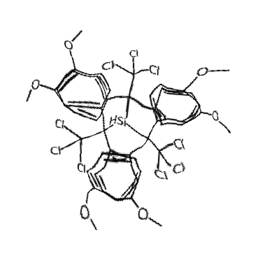 COc1ccc(C(c2ccc(OC)cc2)([SiH](C(c2ccc(OC)cc2)(c2ccc(OC)cc2)C(Cl)(Cl)Cl)C(c2ccc(OC)cc2)(c2ccc(OC)cc2)C(Cl)(Cl)Cl)C(Cl)(Cl)Cl)cc1